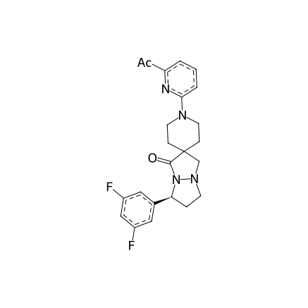 CC(=O)c1cccc(N2CCC3(CC2)CN2CC[C@@H](c4cc(F)cc(F)c4)N2C3=O)n1